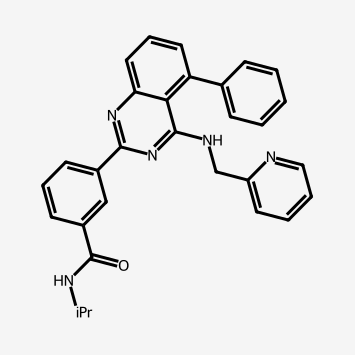 CC(C)NC(=O)c1cccc(-c2nc(NCc3ccccn3)c3c(-c4ccccc4)cccc3n2)c1